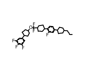 CCCC1CCC(c2ccc(C3CCC(C(F)(F)OC4CCC(c5cc(F)c(F)c(F)c5)CC4)CC3)c(F)c2)CC1